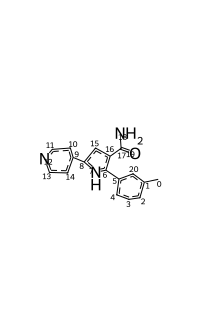 Cc1cccc(-c2[nH]c(-c3ccncc3)cc2C(N)=O)c1